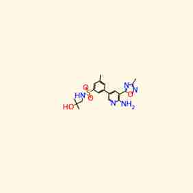 Cc1cc(-c2cnc(N)c(-c3nc(C)no3)c2)cc(S(=O)(=O)NCC(C)(C)O)c1